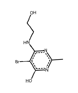 Cc1nc(O)c(Br)c(NCCO)n1